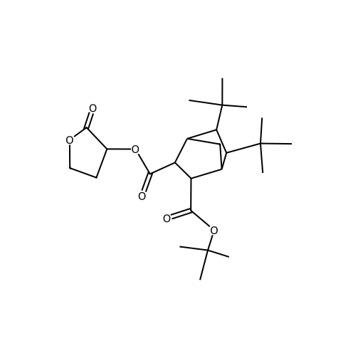 CC(C)(C)OC(=O)C1C2CC(C1C(=O)OC1CCOC1=O)C(C(C)(C)C)C2C(C)(C)C